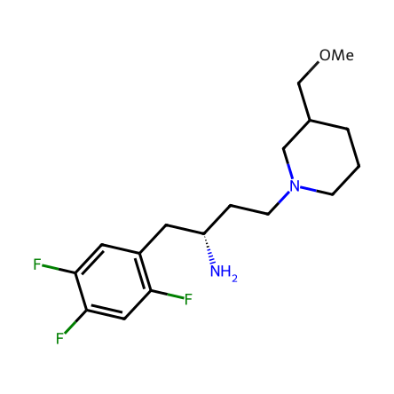 COCC1CCCN(CC[C@H](N)Cc2cc(F)c(F)cc2F)C1